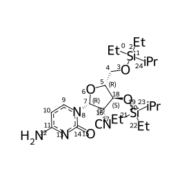 CC[Si](CC)(OC[C@H]1O[C@@H](n2ccc(N)nc2=O)[C@@H](C#N)[C@@H]1O[Si](CC)(CC)C(C)C)C(C)C